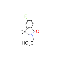 O=C(O)CN1CC2(CC2)c2cc(F)ccc2C1=O